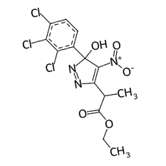 CCOC(=O)C(C)C1=C([N+](=O)[O-])C(O)(c2ccc(Cl)c(Cl)c2Cl)N=N1